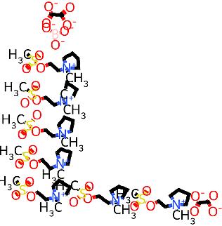 C[N+]1(CCOS(C)(=O)=O)CCCC1.C[N+]1(CCOS(C)(=O)=O)CCCC1.C[N+]1(CCOS(C)(=O)=O)CCCC1.C[N+]1(CCOS(C)(=O)=O)CCCC1.C[N+]1(CCOS(C)(=O)=O)CCCC1.C[N+]1(CCOS(C)(=O)=O)CCCC1.C[N+]1(CCOS(C)(=O)=O)CCCC1.O=C([O-])C(=O)[O-].O=C([O-])C(=O)[O-].[O-]B([O-])[O-]